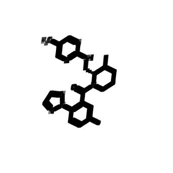 Cc1ccc(-n2nccn2)c(C(=O)N2CCCC(C)[C@H]2CNc2ncc(C(F)(F)F)cn2)c1